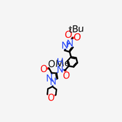 COC(=O)c1nn(C2CCOCC2)cc1NC(=O)c1cccc(-c2cnn(C(=O)OC(C)(C)C)c2)c1